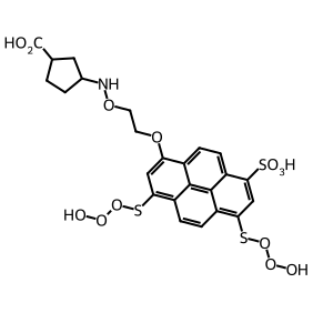 O=C(O)C1CCC(NOCCOc2cc(SOOO)c3ccc4c(SOOO)cc(S(=O)(=O)O)c5ccc2c3c45)C1